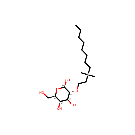 CCCCCCCC[Si](C)(C)CCO[C@@H]1[C@@H](O)[C@@H](O)[C@@H](CO)O[C@H]1O